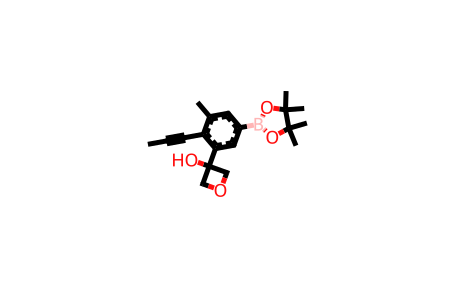 CC#Cc1c(C)cc(B2OC(C)(C)C(C)(C)O2)cc1C1(O)COC1